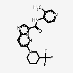 Cc1cnccc1NC(=O)c1cnc2ccc(N3CCCC(C(F)(F)F)C3)nn12